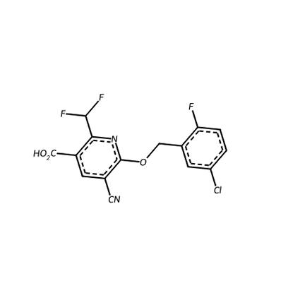 N#Cc1cc(C(=O)O)c(C(F)F)nc1OCc1cc(Cl)ccc1F